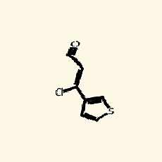 O=C/C=C(\Cl)c1ccsc1